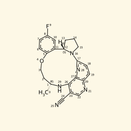 C[C@@H]1CCOc2ccc(F)cc2[C@@H]2CCCN2c2ccc3ncc(C#N)c(c3n2)N1